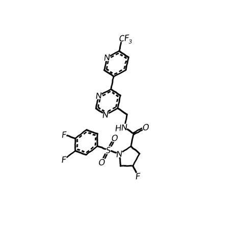 O=C(NCc1cc(-c2ccc(C(F)(F)F)nc2)ncn1)C1CC(F)CN1S(=O)(=O)c1ccc(F)c(F)c1